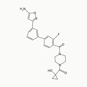 Nc1cc(-c2cccc(-c3ccc(C(=O)N4CCN(C(=O)C5(O)CC5)CC4)c(F)c3)c2)no1